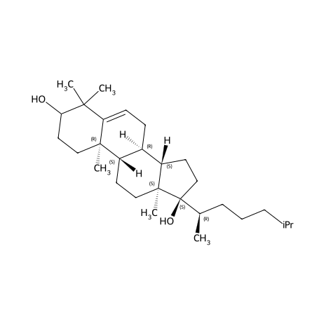 CC(C)CCC[C@@H](C)[C@@]1(O)CC[C@H]2[C@@H]3CC=C4C(C)(C)C(O)CC[C@]4(C)[C@H]3CC[C@@]21C